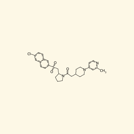 Cc1cc(N2CCC(CC(=O)N3CCCC3CS(=O)(=O)c3ccc4cc(Cl)ccc4c3)CC2)ccn1